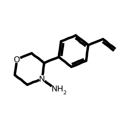 C=Cc1ccc(C2COCCN2N)cc1